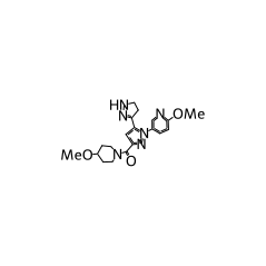 COc1ccc(-n2nc(C(=O)N3CCC(OC)CC3)cc2C2=NNCC2)cn1